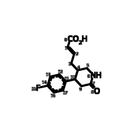 O=C(O)C=CCC1CNC(=O)CC1c1ccc(F)cc1